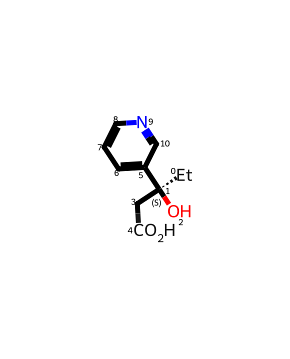 CC[C@](O)(CC(=O)O)c1cccnc1